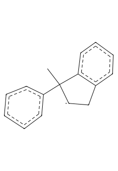 CC1(c2ccccc2)[CH]Cc2ccccc21